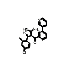 Cc1cc(Cl)ccc1-c1n[nH]c(N)c1C(=O)c1cccc(-c2cccnc2)c1